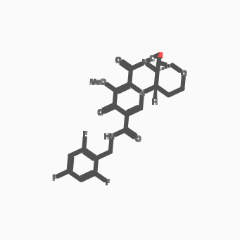 COc1c2n(cc(C(=O)NCc3c(F)cc(F)cc3F)c1=O)[C@H]1CCOC[C@]13C(C)C=CCN3C2=O